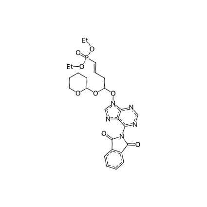 CCOP(=O)(C=CCC(OC1CCCCO1)On1cnc2c(N3C(=O)c4ccccc4C3=O)ncnc21)OCC